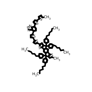 CCCCCCc1ccc(C2(c3ccc(CCCCCC)cc3)c3cc4c(cc3-c3sc(C)cc32)C(c2ccc(CCCCCC)cc2)(c2ccc(CCCCCC)cc2)c2cc(-c3ccc(-c5ccc(-c6ccc(-c7ccc(-c8ccc(C)s8)s7)c7nsnc67)s5)s3)sc2-4)cc1